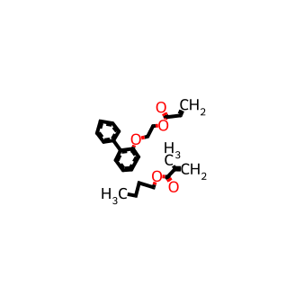 C=C(C)C(=O)OCCCC.C=CC(=O)OCCOc1ccccc1-c1ccccc1